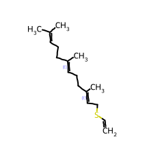 C=CSC/C=C(\C)CC/C=C(\C)CCC=C(C)C